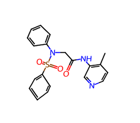 Cc1ccncc1NC(=O)CN(c1ccccc1)S(=O)(=O)c1ccccc1